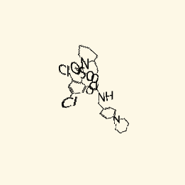 O=C(COCC1CCCCN1S(=O)(=O)c1c(Cl)cc(Cl)cc1Cl)NCc1ccc(N2CCCCC2)cc1